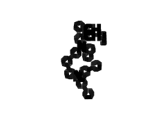 CC1(C)c2ccccc2-c2ccc(N(c3ccc(-c4cccc(-c5cccc(-n6c7ccc(-c8ccccc8)cc7c7cc(-c8ccccc8)ccc76)c5)c4)cc3)c3cccc4ccccc34)cc21